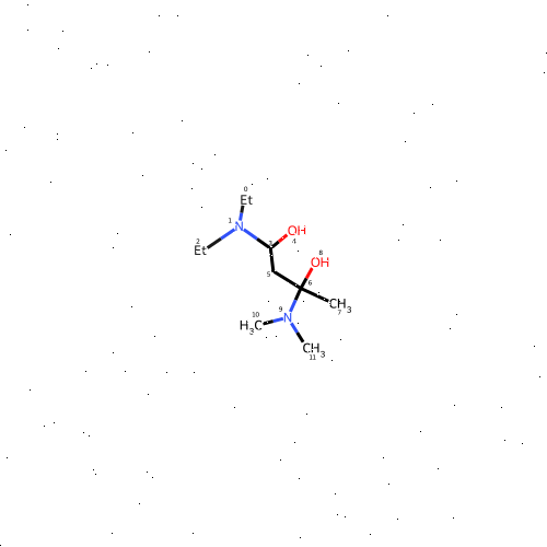 CCN(CC)C(O)CC(C)(O)N(C)C